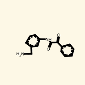 NCc1cccc(NC(=O)C(=O)c2ccccc2)c1